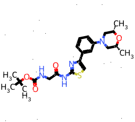 C[C@H]1CN(c2cccc(-c3csc(NC(=O)CNC(=O)OC(C)(C)C)n3)c2)C[C@H](C)O1